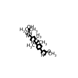 COc1cncc(-c2ccc([C@](C)(c3ccc(-c4noc(C(C)(C)O)n4)cn3)C(C)C)cc2)c1